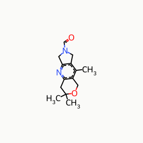 Cc1c2c(nc3c1CN(C=O)C3)CC(C)(C)OC2